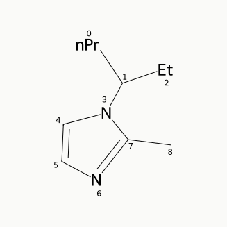 CCCC(CC)n1ccnc1C